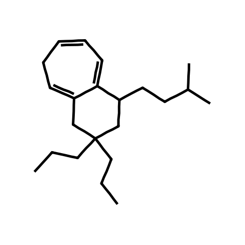 CCCC1(CCC)CC2=CCC=CC=C2C(CCC(C)C)C1